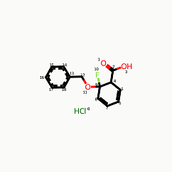 Cl.O=C(O)C1C=CC=CC1(F)OCc1ccccc1